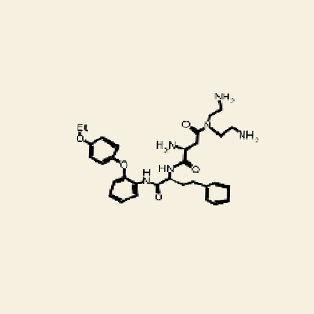 CCOc1ccc(Oc2ccccc2NC(=O)[C@H](CCc2ccccc2)NC(=O)[C@@H](N)CC(=O)N(CCN)CCN)cc1